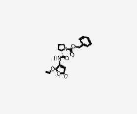 CCOC1OC(=O)C=C1NC(=O)[C@@H]1CCCN1C(=O)OCc1ccccc1